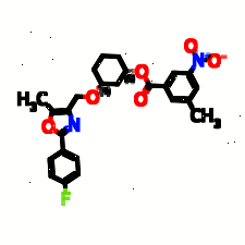 Cc1cc(C(=O)O[C@H]2CCC[C@@H](OCc3nc(-c4ccc(F)cc4)oc3C)C2)cc([N+](=O)[O-])c1